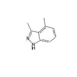 Cc1cccc2[nH]nc(C)c12